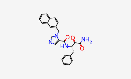 NC(=O)C(=O)[C@H](Cc1ccccc1)NC(=O)c1cncn1Cc1ccc2ccccc2c1